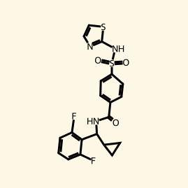 O=C(NC(c1c(F)cccc1F)C1CC1)c1ccc(S(=O)(=O)Nc2nccs2)cc1